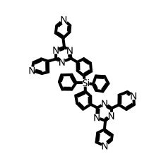 c1ccc([Si](c2ccccc2)(c2cccc(-c3nc(-c4ccncc4)nc(-c4ccncc4)n3)c2)c2cccc(-c3nc(-c4ccncc4)nc(-c4ccncc4)n3)c2)cc1